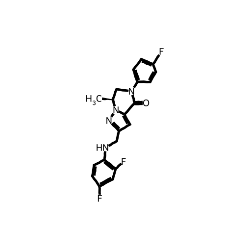 C[C@H]1CN(c2ccc(F)cc2)C(=O)c2cc(CNc3ccc(F)cc3F)nn21